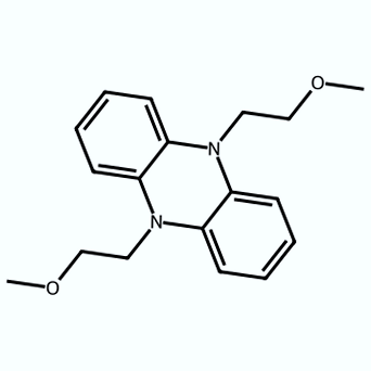 COCCN1c2ccccc2N(CCOC)c2ccccc21